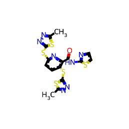 Cc1nnc(Sc2ccc(Sc3nnc(C)s3)c(C(=O)Nc3nccs3)n2)s1